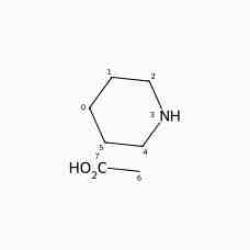 C1CCNCC1.CC(=O)O